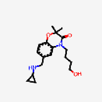 CC1(C)Oc2ccc(CNC3CC3)cc2N(CCCCO)C1=O